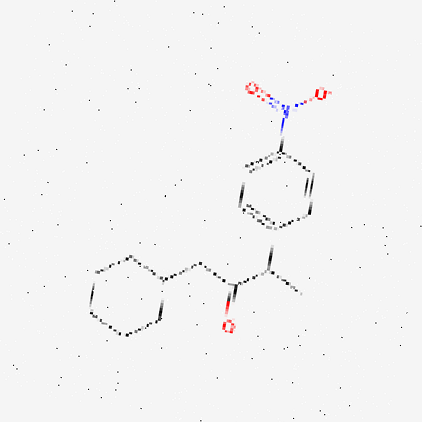 CC(C(=O)CC1CCCCC1)c1ccc([N+](=O)[O-])cc1